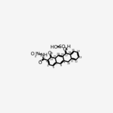 O=C(N[N+](=O)[O-])C1=CC=C2C=C3Cc4ccccc4C(=O)C3=CC2C1=O.O=S(=O)(O)O